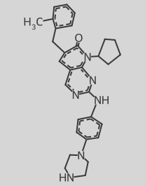 Cc1ccccc1Cc1cc2cnc(Nc3ccc(N4CCNCC4)cc3)nc2n(C2CCCC2)c1=O